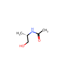 CC(=O)N[C@@H](C)CO